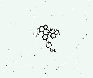 CN1CCN(c2ccc(N3c4c(ccn4S(=O)(=O)c4cccc5c4OCO5)C=NC3N)cc2)CC1